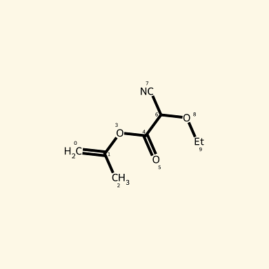 C=C(C)OC(=O)C(C#N)OCC